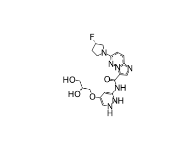 O=C(NC1=CC(OC[C@@H](O)CO)=CNN1)c1cnc2ccc(N3CC[C@H](F)C3)nn12